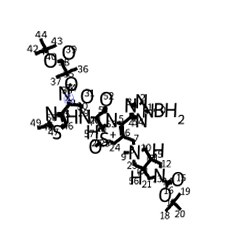 Bn1nnc(C2=C(C[N+]3(C)C[C@H]4CN(C(=O)OC(C)(C)C)C[C@H]4C3)C[S+]([O-])[C@@H]3[C@H](NC(=O)/C(=N\OC(C)(C)C(=O)OC(C)(C)C)c4csc(C)n4)C(=O)N23)n1